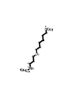 CCCCCCCCCCCCCCOCCCN[C]=O